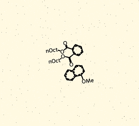 CCCCCCCCOC(=O)c1ccccc1C(=O)OCCCCCCCC.COc1cccc2ccccc12